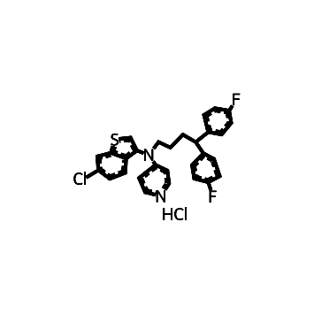 Cl.Fc1ccc(C(CCCN(c2ccncc2)c2csc3cc(Cl)ccc23)c2ccc(F)cc2)cc1